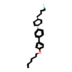 CCCCCCOc1ccc(-c2ccc([C@H]3CC[C@H](CCC=CF)CC3)cc2)cc1